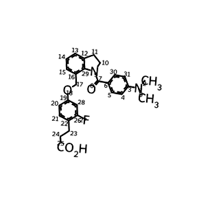 CN(C)c1ccc(C(=O)N2CCc3cccc(COc4ccc(CCC(=O)O)c(F)c4)c32)cc1